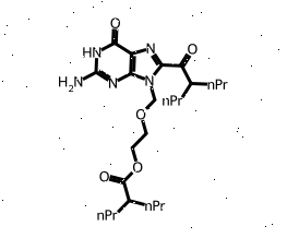 CCCC(CCC)C(=O)OCCOCn1c(C(=O)C(CCC)CCC)nc2c(=O)[nH]c(N)nc21